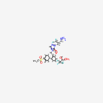 CS(=O)(=O)c1ccc(-c2ccccc2Cn2cnn(CC(CN)=C(F)F)c2=O)cc1.O=C(O)C(F)(F)F